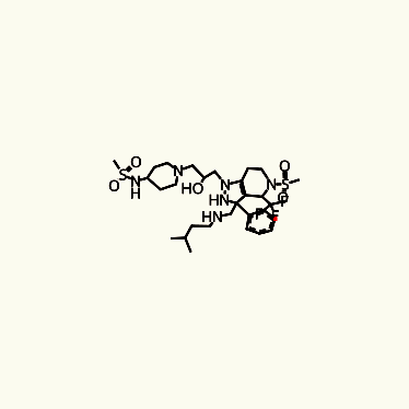 CC(C)CCNCC1(c2ccccc2)NN(CC(O)CN2CCC(NS(C)(=O)=O)CC2)C2=C1C(C(F)(F)F)N(S(C)(=O)=O)CC2